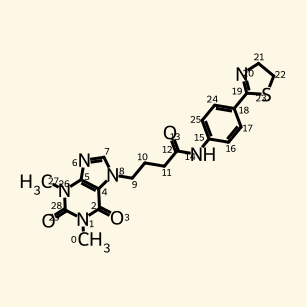 Cn1c(=O)c2c(ncn2CCCC(=O)Nc2ccc(C3=NCCS3)cc2)n(C)c1=O